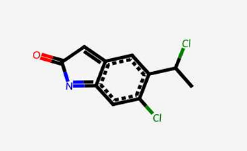 CC(Cl)c1cc2c(cc1Cl)=NC(=O)C=2